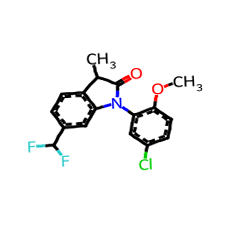 COc1ccc(Cl)cc1N1C(=O)C(C)c2ccc(C(F)F)cc21